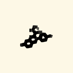 CNC(C)c1nc2cc(=O)ccc-2cn1-c1ccc(Br)cc1